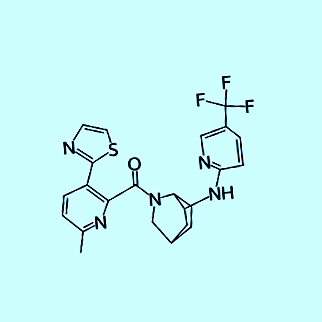 Cc1ccc(-c2nccs2)c(C(=O)N2CC3CCC2C(Nc2ccc(C(F)(F)F)cn2)C3)n1